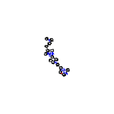 c1ccc(-n2c3ccccc3c3ccc(-c4cccc(-c5ccc6c(c5)c5ccccc5n6-c5nc6ccc(-c7cccc8c7c7c9ccccc9ccc7n8-c7ccc(-c8ccc9c(c8)c8ccccc8n9-c8nc9ccccc9c9nc%10ccccc%10n89)cc7)cc6c6nc7ccccc7n56)c4)cc32)cc1